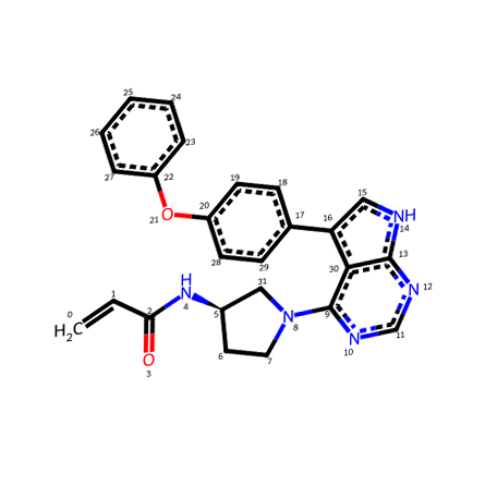 C=CC(=O)N[C@@H]1CCN(c2ncnc3[nH]cc(-c4ccc(Oc5ccccc5)cc4)c23)C1